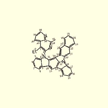 CCc1c(-n2c3ccccc3c3cc4c5ccccc5n5c6cc7ccccc7cc6c(c32)c45)nc(C)c2ncccc12